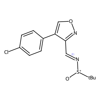 CC(C)(C)[S+]([O-])/N=C/c1nocc1-c1ccc(Cl)cc1